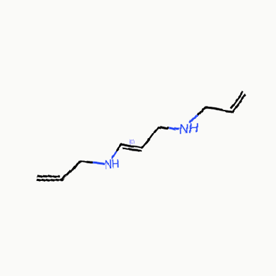 C=CCN/C=C/CNCC=C